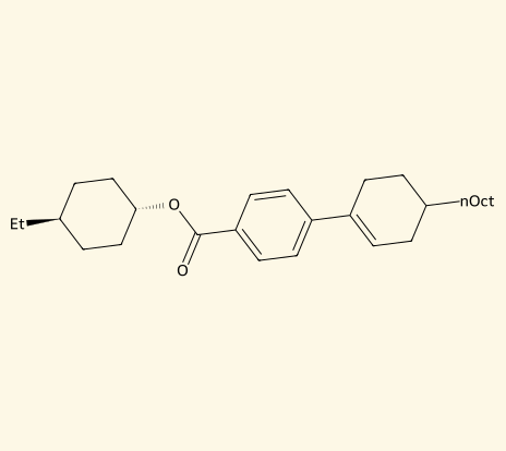 CCCCCCCCC1CC=C(c2ccc(C(=O)O[C@H]3CC[C@H](CC)CC3)cc2)CC1